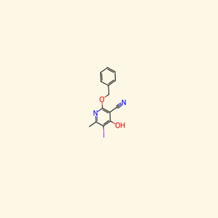 Cc1nc(OCc2ccccc2)c(C#N)c(O)c1I